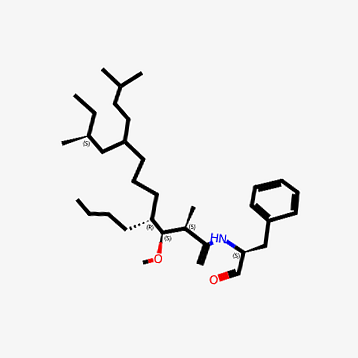 C=C(N[C@H](C=O)Cc1ccccc1)[C@H](C)[C@@H](OC)[C@H](CCCC)CCCC(CCC(C)C)C[C@@H](C)CC